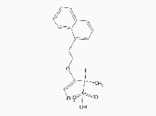 CC=C(OCCc1cccc2ccccc12)C(C)(F)S(=O)(=O)O